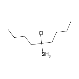 CCCCC([SiH3])(Cl)CCCC